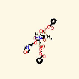 CC(C)(SC(=O)OCOC(=O)c1ccccc1)C(=O)N[C@@H](CSC(=O)OCOC(=O)c1ccccc1)C(=O)OCCCN1CCOCC1